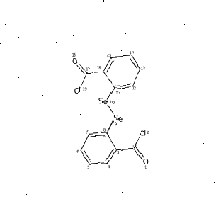 O=C(Cl)c1ccccc1[Se][Se]c1ccccc1C(=O)Cl